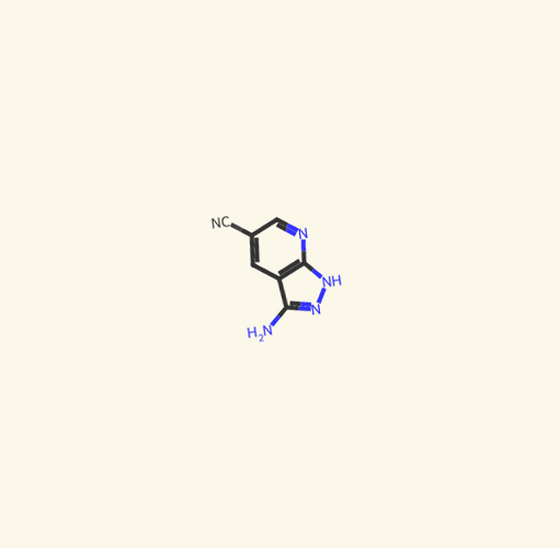 N#Cc1cnc2[nH]nc(N)c2c1